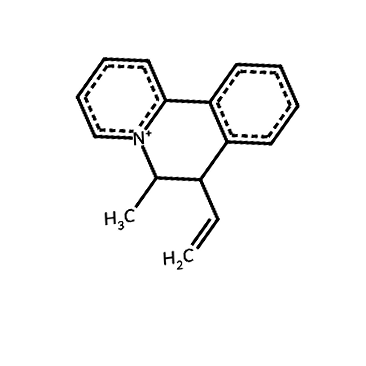 C=CC1c2ccccc2-c2cccc[n+]2C1C